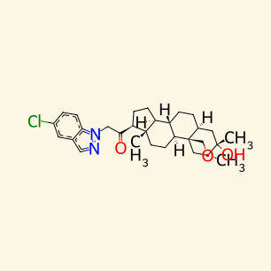 COC[C@]12CC[C@@](C)(O)C[C@@H]1CC[C@H]1[C@@H]3CC[C@H](C(=O)Cn4ncc5cc(Cl)ccc54)[C@@]3(C)CC[C@@H]12